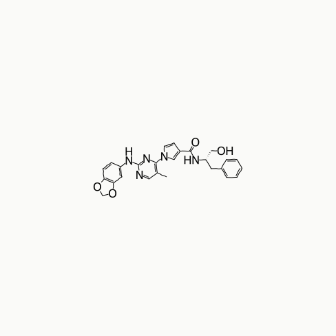 Cc1cnc(Nc2ccc3c(c2)OCO3)nc1-n1ccc(C(=O)N[C@H](CO)Cc2ccccc2)c1